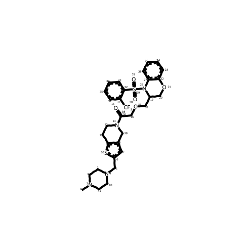 CN1CCN(Cc2cc3c(s2)CCN(C(=O)COCC2COc4ccccc4N2S(=O)(=O)c2ccccc2C(F)(F)F)C3)CC1